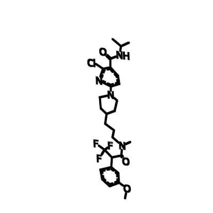 COc1cccc(C(C(=O)N(C)CCCC2CCN(c3ccc(C(=O)NC(C)C)c(Cl)n3)CC2)C(F)(F)F)c1